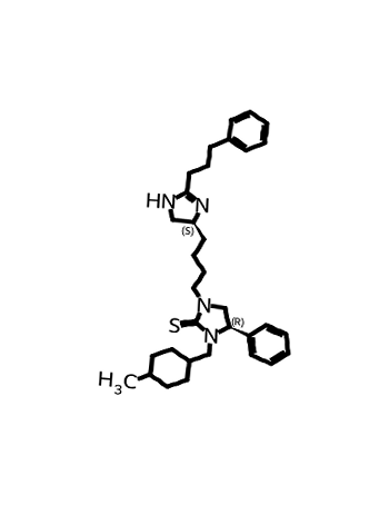 CC1CCC(CN2C(=S)N(CCCC[C@H]3CNC(CCCc4ccccc4)=N3)C[C@H]2c2ccccc2)CC1